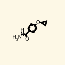 NNC(=O)c1ccc(OC2CC2)cc1